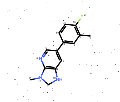 Cc1cc(-c2cnc3c(c2)NCN3C)ccc1F